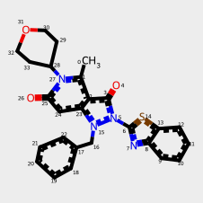 Cc1c2c(=O)n(-c3nc4ccccc4s3)n(Cc3ccccc3)c2cc(=O)n1C1CCOCC1